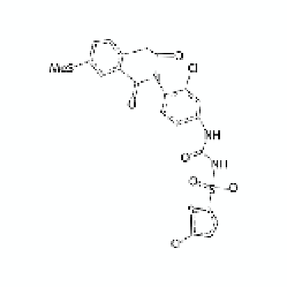 CSc1ccc2c(c1)C(=O)N(c1ccc(NC(=O)NS(=O)(=O)c3ccc(Cl)s3)cc1Cl)C(=O)C2